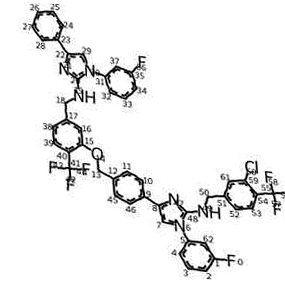 Fc1cccc(-n2cc(-c3ccc(COc4cc(CNc5nc(-c6ccccc6)cn5-c5cccc(F)c5)ccc4C(F)(F)F)cc3)nc2NCc2ccc(C(F)(F)F)c(Cl)c2)c1